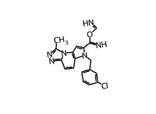 Cc1nnc2ccc3c(cc(C(=N)OC=N)n3Cc3cccc(Cl)c3)n12